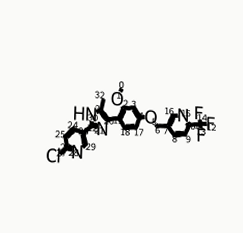 COc1cc(OCc2ccc(C(F)(F)F)nc2)ccc1-c1nc(-c2ccc(Cl)nc2)[nH]c1C